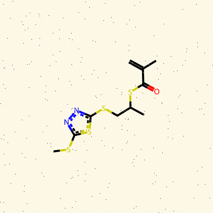 C=C(C)C(=O)SC(C)CSc1nnc(SC)s1